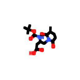 CC1CCC(=O)N(CC(CC(=O)O)NC(=O)OC(C)(C)C)C1=O